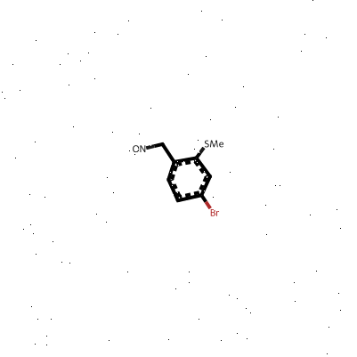 CSc1cc(Br)ccc1CN=O